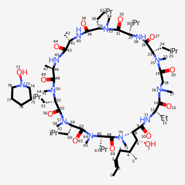 C/C=C/C[C@@H](C)[C@@H](O)[C@H]1C(=O)N[C@@H](CC)C(=O)N(C)CC(=O)N(C)[C@@H](CC(C)C)C(=O)N[C@@H](C(C)C)C(=O)N(C)[C@@H](CC(C)C)C(=O)N[C@@H](C)C(=O)N[C@H](C)C(=O)N(C)[C@@H](CC(C)C)C(=O)N(C)[C@@H](CC(C)C)C(=O)N(C)[C@@H](C(C)C)C(=O)N1C.ON1CCCCC1